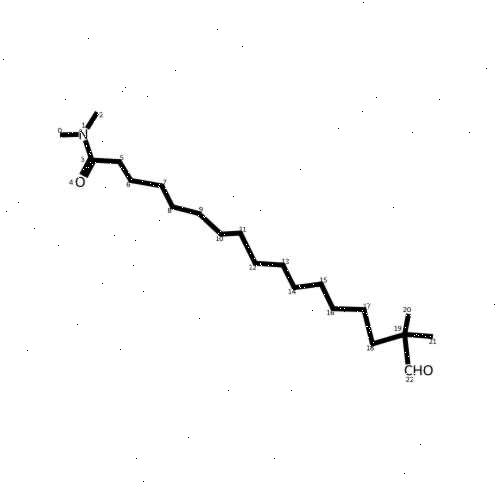 CN(C)C(=O)CCCCCCCCCCCCCCC(C)(C)C=O